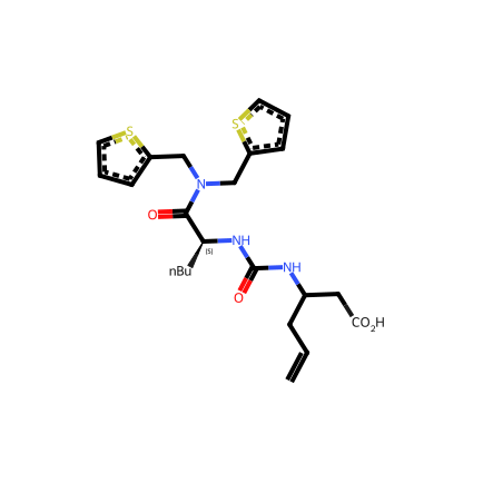 C=CCC(CC(=O)O)NC(=O)N[C@@H](CCCC)C(=O)N(Cc1cccs1)Cc1cccs1